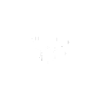 CCc1[c]c(C(F)(F)F)ccn1